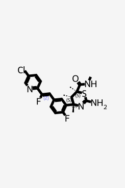 CNC(=O)[C@@]1(C)SC(N)=N[C@](C)(c2cc(/C=C(\F)c3ccc(Cl)cn3)ccc2F)[C@@H]1C